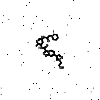 Cc1ncc(NC(=O)CN2CCCC[C@H]2C)cc1NC(=O)c1nnc2cc(-c3cnn(CCO)c3)ccn12